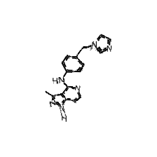 Cc1n[nH]c2ccnc(Nc3ccc(Cn4ccnc4)cc3)c12